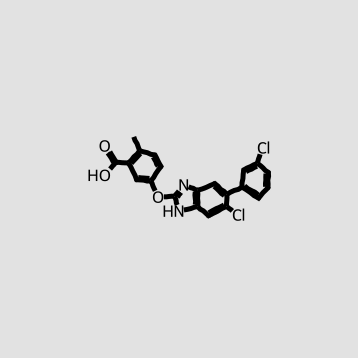 Cc1ccc(Oc2nc3cc(-c4cccc(Cl)c4)c(Cl)cc3[nH]2)cc1C(=O)O